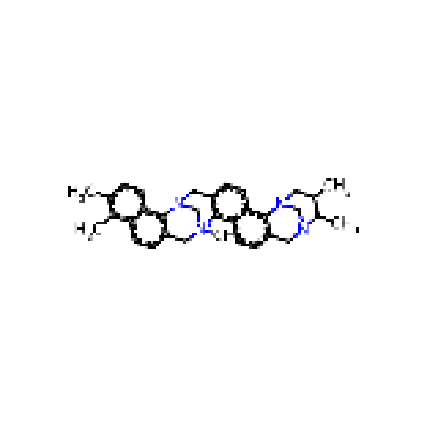 Cc1ccc2c3c(ccc2c1C)C[N+]1(C)CN3Cc2ccc3c4c(ccc3c21)CN1CN4CC(C)C1C